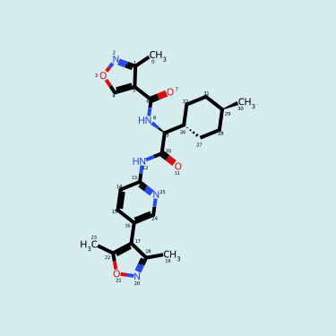 Cc1nocc1C(=O)N[C@H](C(=O)Nc1ccc(-c2c(C)noc2C)cn1)[C@H]1CC[C@H](C)CC1